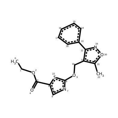 CCOC(=O)c1cnc(OCc2c(-c3ccccc3)noc2C)s1